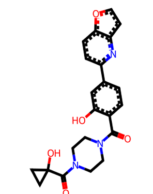 O=C(c1ccc(-c2ccc3occc3n2)cc1O)N1CCN(C(=O)C2(O)CC2)CC1